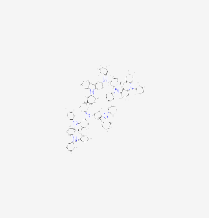 Cc1ccc(N2c3cc(N(c4ccccc4)c4ccc5c(c4)c4ccccc4n5-c4cccc(-c5cccc(N6c7cc(N(c8ccccc8)c8ccc9c(c8)c8ccccc8n9-c8ccccc8)ccc7B7c8ccccc8N(c8ccccc8)c8cccc6c87)c5)c4)ccc3B3c4ccccc4N(c4ccccc4)c4cccc2c43)cc1